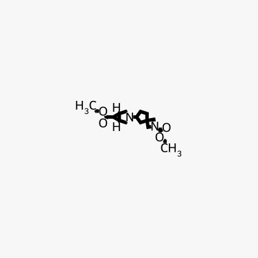 CCOC(=O)C1[C@H]2CN(C3CCC4(C3)CN(C(=O)OCC)C4)C[C@@H]12